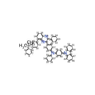 CC1(C)c2ccccc2-c2ccc(-c3cccc4nc(-c5ccccc5)c(-c5ccc(N(c6ccccc6)c6ccc(-n7c8ccccc8c8ccccc87)cc6)cc5)nc34)cc21